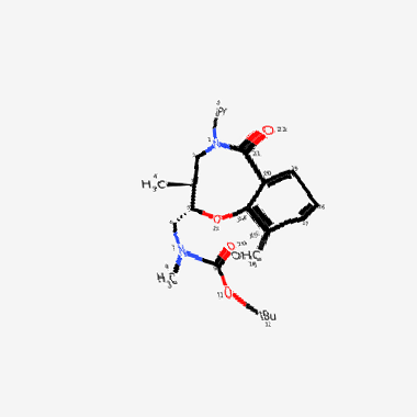 CC(C)N1C[C@H](C)[C@@H](CN(C)C(=O)OC(C)(C)C)Oc2c(C=O)cccc2C1=O